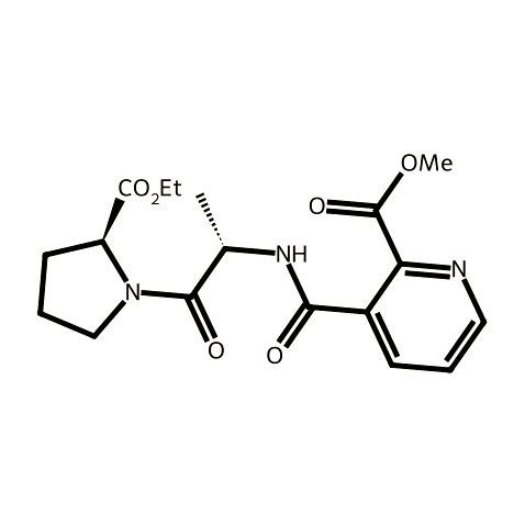 CCOC(=O)[C@@H]1CCCN1C(=O)[C@H](C)NC(=O)c1cccnc1C(=O)OC